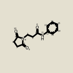 O=C(CCN1C(=O)CCC1=O)Nc1ccccc1